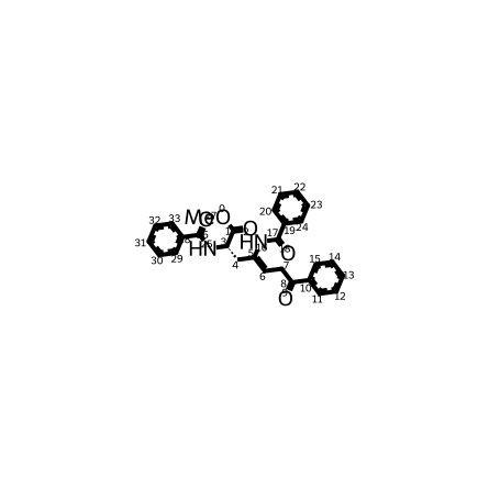 COC(=O)[C@H](C/C(=C/CC(=O)c1ccccc1)NC(=O)c1ccccc1)NC(=O)c1ccccc1